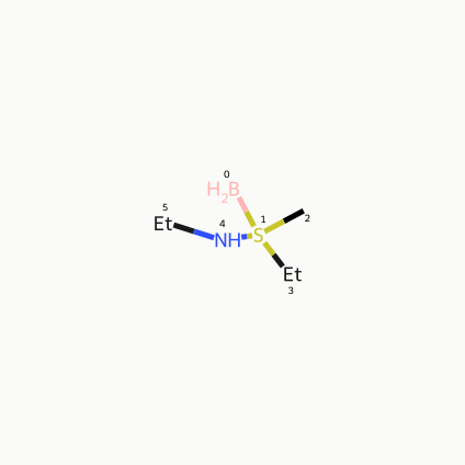 BS(C)(CC)NCC